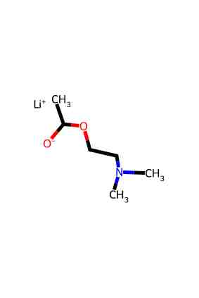 CC([O-])OCCN(C)C.[Li+]